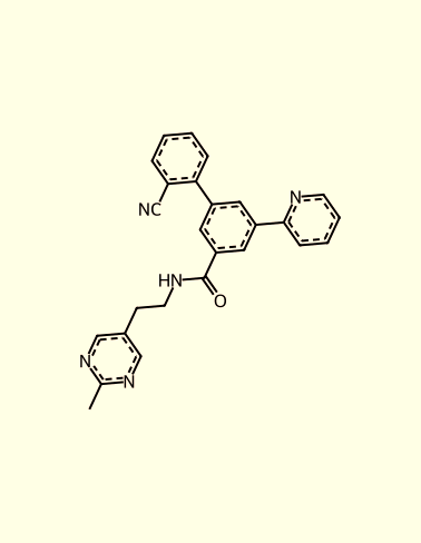 Cc1ncc(CCNC(=O)c2cc(-c3ccccn3)cc(-c3ccccc3C#N)c2)cn1